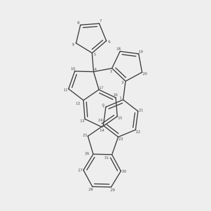 [c]1c(C2=C(C3(C4=CC=CC4)C=Cc4ccccc43)C=CC2)ccc2c1Cc1ccccc1-2